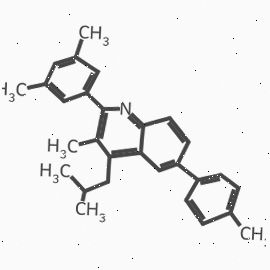 Cc1ccc(-c2ccc3nc(-c4cc(C)cc(C)c4)c(C)c(CC(C)C)c3c2)cc1